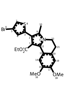 CCOC(=O)c1c(-c2cc(Br)cs2)c(C)n2c1-c1cc(OC)c(OC)cc1CC2